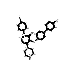 O=c1c(Oc2ccc(-c3ccc(O)cc3)cc2)c(N2CCNCC2)cnn1-c1ccc(Cl)cc1